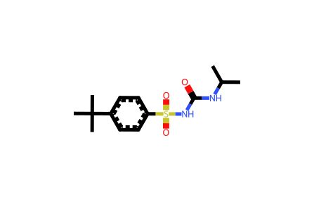 CC(C)NC(=O)NS(=O)(=O)c1ccc(C(C)(C)C)cc1